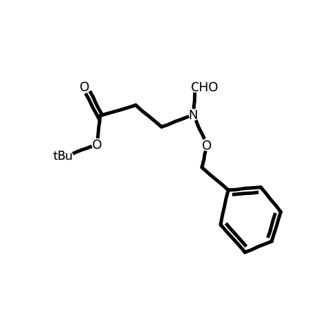 CC(C)(C)OC(=O)CCN(C=O)OCc1ccccc1